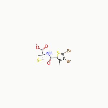 COC(=O)C1(NC(=O)c2sc(Br)c(Br)c2C)CSC1